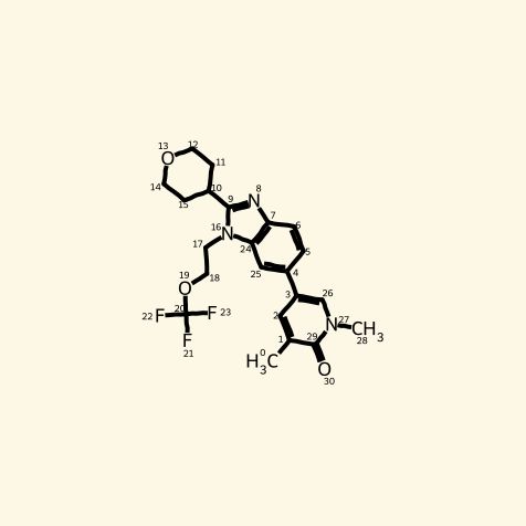 Cc1cc(-c2ccc3nc(C4CCOCC4)n(CCOC(F)(F)F)c3c2)cn(C)c1=O